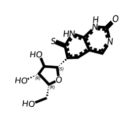 O=c1ncc2cc([C@@H]3O[C@H](CO)[C@H](O)C3O)c(=S)[nH]c2[nH]1